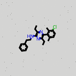 CCc1nc(-c2c(C)ccc(Cl)c2C)c(CC)nc1NCCc1ccccc1